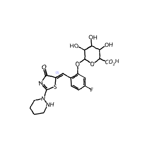 O=C1N=C(N2CCCCN2)S/C1=C\c1ccc(F)cc1OC1OC(C(=O)O)C(O)C(O)C1O